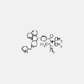 CC(C)N(C(=O)c1ccc(C(=C2CCN(Cc3ccccn3)CC2)c2cccc3cccnc23)cc1)C(C)C